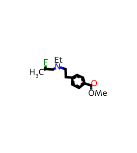 CCN(CCc1ccc(C(=O)OC)cc1)CC(C)F